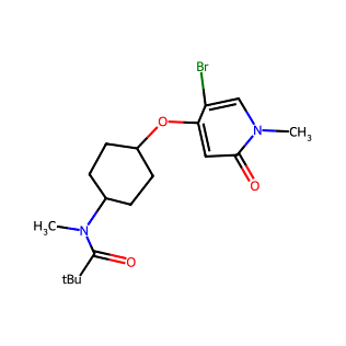 CN(C(=O)C(C)(C)C)C1CCC(Oc2cc(=O)n(C)cc2Br)CC1